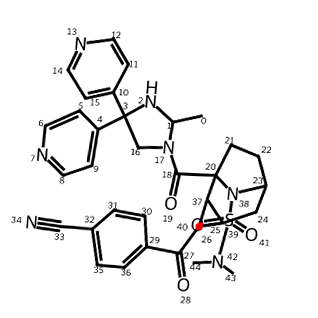 CC1NC(c2ccncc2)(c2ccncc2)CN1C(=O)C12CCC(CC3C(C(=O)c4ccc(C#N)cc4)C31)N2S(=O)(=O)N(C)C